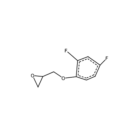 Fc1ccc(OCC2CO2)c(F)c1